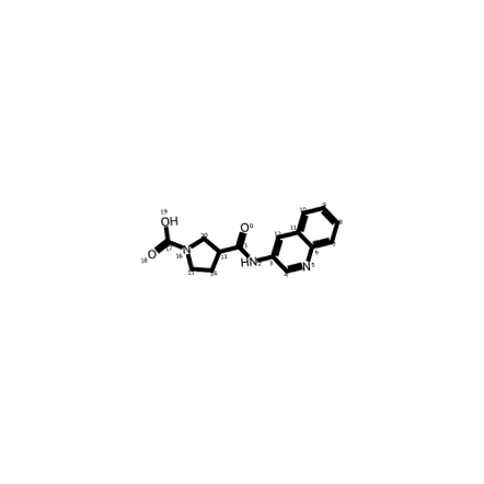 O=C(Nc1cnc2ccccc2c1)C1CCN(C(=O)O)C1